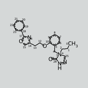 CCC[N+]1(Cc2ccccc2OCCc2coc(-c3ccccc3)n2)C=NNC1=O